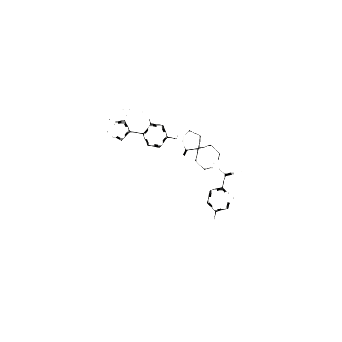 COc1cc(N2CCC3(CCN(C(=O)c4ccc(C(F)(F)F)cn4)CC3)C2=O)ccc1-c1cn[nH]c1